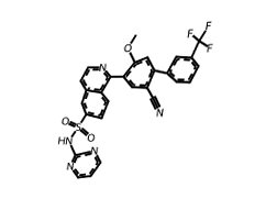 COc1cc(-c2cccc(C(F)(F)F)c2)c(C#N)cc1-c1nccc2cc(S(=O)(=O)Nc3ncccn3)ccc12